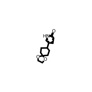 O=c1ccc(C2CCC3(CC2)OCCO3)c[nH]1